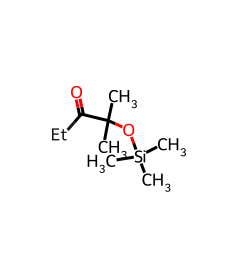 CCC(=O)C(C)(C)O[Si](C)(C)C